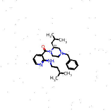 CC(C)CCNc1ncccc1C(=O)N1CCN(Cc2ccccc2)C[C@@H]1CC(C)C